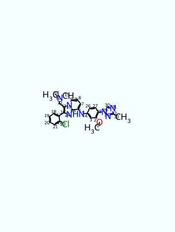 COc1cc(Nc2cccn3c(CN(C)C)c(-c4ccccc4Cl)nc23)ccc1-n1cnc(C)n1